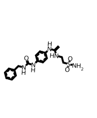 C=C(NCCS(N)(=O)=O)Nc1ccc(NC(=O)NCc2ccccc2)cc1